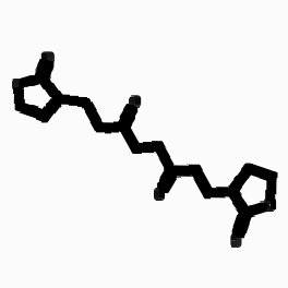 O=C(CCC(=O)CCC1CCOC1=O)CCC1CCOC1=O